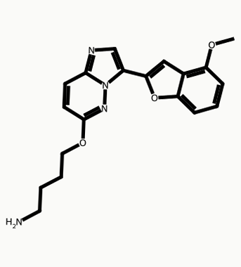 COc1cccc2oc(-c3cnc4ccc(OCCCCN)nn34)cc12